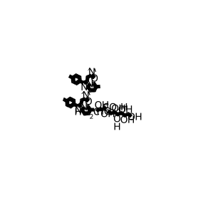 Cc1ccc(-c2nc3ccc(C)cn3c2CC(=O)N(C)C)cc1.Cc1ccc(-c2nc3ccc(C)cn3c2CC(=O)N(C)C)cc1.O=C(O)C(O)C(O)C(=O)O.OC[C@@H](O)[C@@H](O)[C@H](O)[C@@H](O)CO